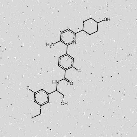 Nc1ncc(C2CCC(O)CC2)nc1-c1ccc(C(=O)NC(CO)c2cc(F)cc(CF)c2)c(F)c1